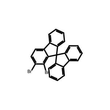 Brc1ccc2c(c1Br)C1(c3ccccc3-c3ccccc31)c1ccccc1-2